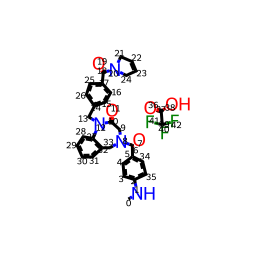 CNc1ccc(C(=O)N2CC(=O)N(Cc3ccc(C(=O)N4CC=CC4)cc3)c3ccccc3C2)cc1.O=C(O)C(F)(F)F